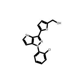 OCc1ccc(-c2nn(-c3ccccc3Cl)c3cc[se]c23)o1